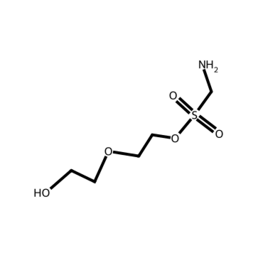 NCS(=O)(=O)OCCOCCO